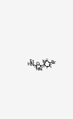 CCNc1nnc(-c2ccc(Br)cn2)o1